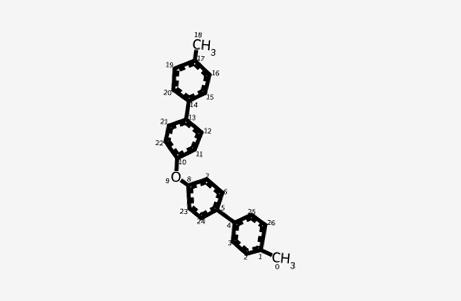 Cc1ccc(-c2ccc(Oc3ccc(-c4ccc(C)cc4)cc3)cc2)cc1